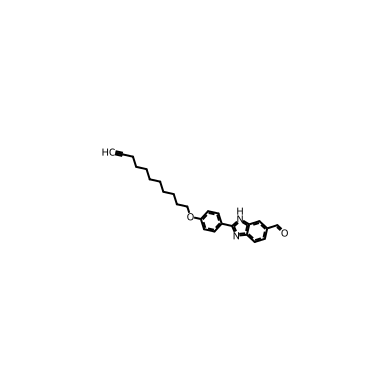 C#CCCCCCCCCCOc1ccc(-c2nc3ccc(C=O)cc3[nH]2)cc1